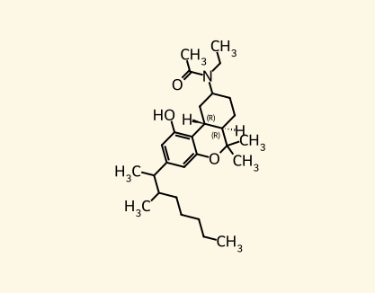 CCCCCC(C)C(C)c1cc(O)c2c(c1)OC(C)(C)[C@@H]1CCC(N(CC)C(C)=O)C[C@@H]21